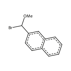 COC(Br)c1ccc2ccccc2c1